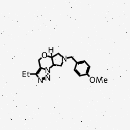 CCc1nnn2c1CO[C@@H]1CN(Cc3ccc(OC)cc3)CC12